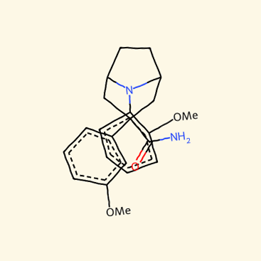 COc1cccc(C2(C(N)=O)CC3CCC(C2)N3c2ccccc2OC)c1